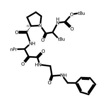 CCCC(NC(=O)[C@@H]1CCCN1C(=O)C(NC(=O)OC(C)(C)C)C(C)(C)C)C(=O)C(=O)NCC(=O)NCc1ccccc1